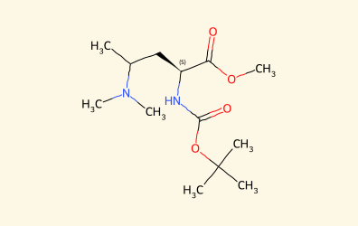 COC(=O)[C@H](CC(C)N(C)C)NC(=O)OC(C)(C)C